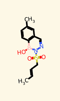 CC=CCS(=O)(=O)N1N=Cc2cc(C)ccc2B1O